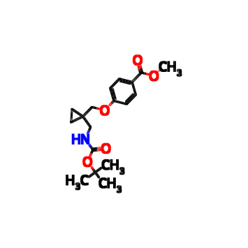 COC(=O)c1ccc(OCC2(CNC(=O)OC(C)(C)C)CC2)cc1